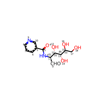 O=C[C@@H](NC(=O)c1cccnc1)[C@H](O)[C@@H](O)[C@@H](O)CO